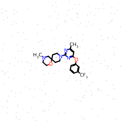 Cc1cc(Oc2cccc(C(F)(F)F)c2)nc(N2CCC3(CC2)CN(C)CCO3)n1